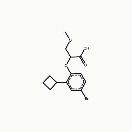 COCC(Oc1ccc(Br)cc1C1CCC1)C(=O)O